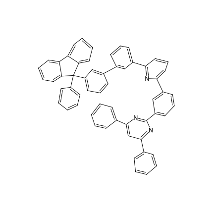 c1ccc(-c2cc(-c3ccccc3)nc(-c3cccc(-c4cccc(-c5cccc(-c6cccc(C7(c8ccccc8)c8ccccc8-c8ccccc87)c6)c5)n4)c3)n2)cc1